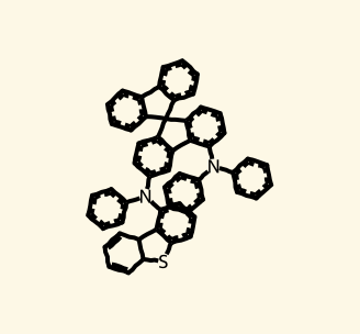 C1=CC2Sc3cccc(N(c4ccccc4)c4ccc5c(c4)-c4c(N(c6ccccc6)c6ccccc6)cccc4C54c5ccccc5-c5ccccc54)c3C2C=C1